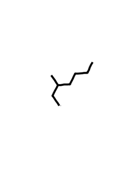 [CH2]CC(C)CC[CH]C